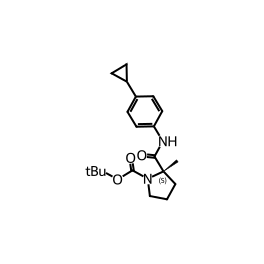 CC(C)(C)OC(=O)N1CCC[C@@]1(C)C(=O)Nc1ccc(C2CC2)cc1